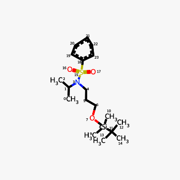 CC(C)N(CCCO[Si](C)(C)C(C)(C)C)S(=O)(=O)c1ccccc1